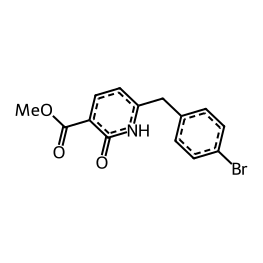 COC(=O)c1ccc(Cc2ccc(Br)cc2)[nH]c1=O